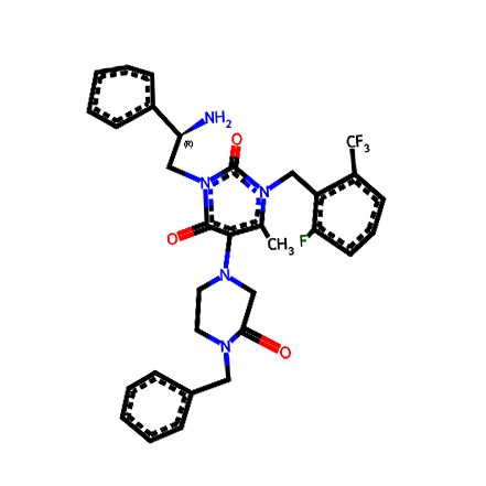 Cc1c(N2CCN(Cc3ccccc3)C(=O)C2)c(=O)n(C[C@H](N)c2ccccc2)c(=O)n1Cc1c(F)cccc1C(F)(F)F